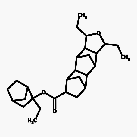 CCC1OC(CC)C2C3CC(C4C5CC(C(=O)OC6(CC)CC7CCC6C7)C(C5)C34)C12